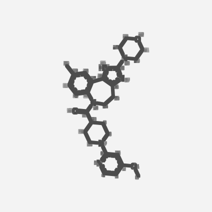 COc1ccnc(N2CCC(C(=O)N3CCc4nc(N5CCOCC5)[nH]c4-c4cc(C)ccc43)CC2)c1